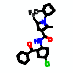 Cc1cc(C(=O)Nc2ccc(Cl)cc2C(=O)c2ccccc2)c(C)n1-c1ccccc1C(F)(F)F